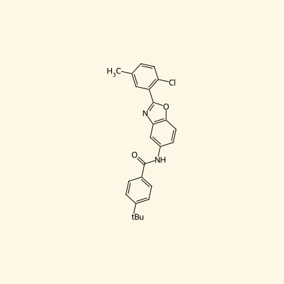 Cc1ccc(Cl)c(-c2nc3cc(NC(=O)c4ccc(C(C)(C)C)cc4)ccc3o2)c1